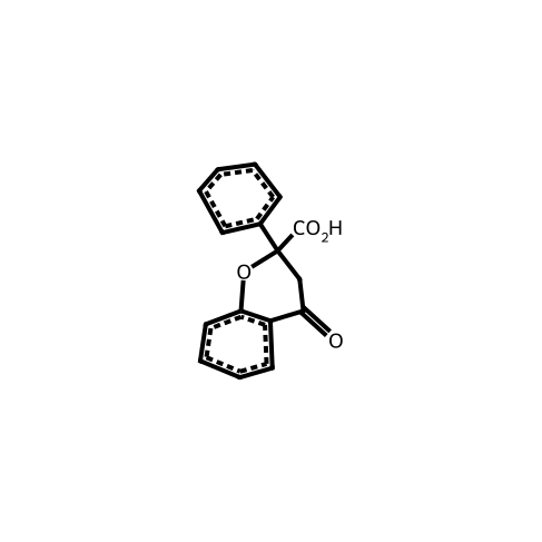 O=C1CC(C(=O)O)(c2ccccc2)Oc2ccccc21